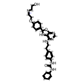 O=C(Nc1ccccc1)Nc1ccc(CCNc2ncnc3c2NC(c2ccc(OC/C=N\CCO)cc2)O3)cc1